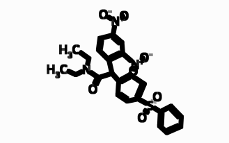 CCN(CC)C(=O)C(c1ccc(S(=O)(=O)c2ccccc2)cc1)c1ccc([N+](=O)[O-])cc1[N+](=O)[O-]